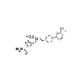 NC(=O)c1cc(CN(CCC2CCN(c3nccc(C(F)(F)F)n3)CC2)C(=O)O)on1